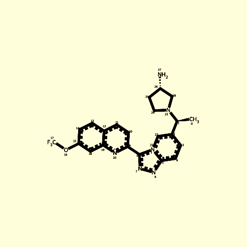 C[C@@H](c1ccc2nnc(-c3ccc4ccc(OC(F)(F)F)cc4n3)n2c1)N1CC[C@H](N)C1